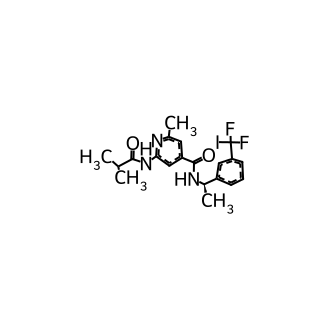 Cc1cc(C(=O)N[C@H](C)c2cccc(C(F)(F)I)c2)cc(NC(=O)C(C)C)n1